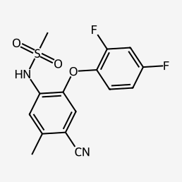 Cc1cc(NS(C)(=O)=O)c(Oc2ccc(F)cc2F)cc1C#N